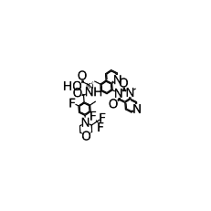 Cc1cc(N2CCOCC2C(F)(F)F)cc(F)c1C(=O)N[C@@H](Cc1ccc(-n2c(=O)c3ccncc3n(C)c2=O)c2ncccc12)C(=O)O